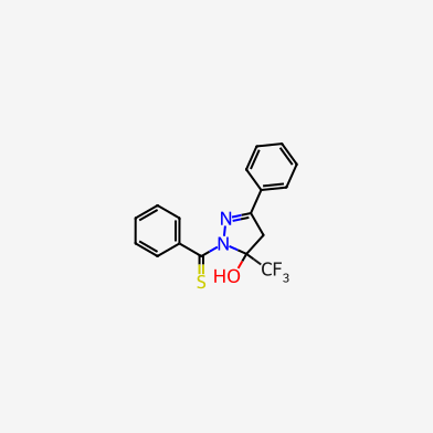 OC1(C(F)(F)F)CC(c2ccccc2)=NN1C(=S)c1ccccc1